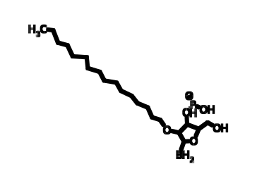 BC1OC(CO)C(O[PH](=O)O)C1OCCCCCCCCCCCCCCCC